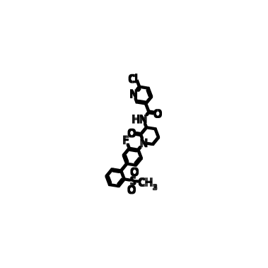 CS(=O)(=O)c1ccccc1-c1ccc(N2CCCC(NC(=O)c3ccc(Cl)nc3)C2=O)c(F)c1